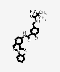 CC(C)(C)C(=O)NCc1ccc(Cl)c(C(=O)Nc2ccc3cnn(-c4ccccc4F)c(=O)c3c2)c1